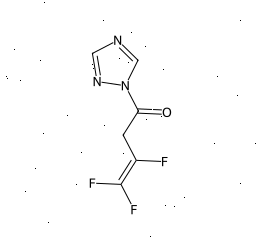 O=C(CC(F)=C(F)F)n1cncn1